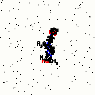 Cc1cc(N2CCN(CC(C)(C)O)CC23CCC3)nn1C1CC2(C1)CN(C(=O)OC(C)(C)C)C2